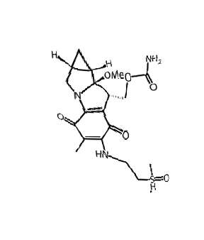 CO[C@@]12[C@H](COC(N)=O)C3=C(C(=O)C(C)=C(NCC[SH](C)(C)=O)C3=O)N1C[C@@H]1C[C@@H]12